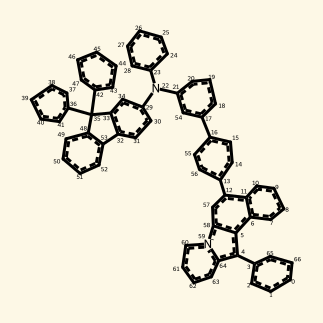 c1ccc(-c2c3c4ccccc4c(-c4ccc(-c5cccc(N(c6ccccc6)c6ccc7c(c6)C(c6ccccc6)(c6ccccc6)c6ccccc6-7)c5)cc4)cc3n3ccccc23)cc1